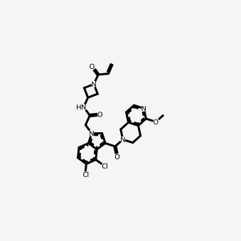 C=CC(=O)N1CC(NC(=O)Cn2cc(C(=O)N3CCc4c(ccnc4OC)C3)c3c(Cl)c(Cl)ccc32)C1